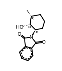 C[C@@H]1CCC[C@@H](N2C(=O)c3ccccc3C2=O)[C@@H]1O